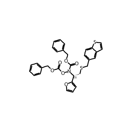 O=C(OCc1ccccc1)ON(C(=O)OCc1ccccc1)[C@H](CSCc1ccc2sccc2c1)c1ccco1